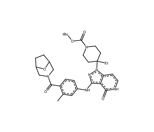 CCC1(n2nc(Nc3ccc(C(=O)N4CC5CCC(C4)O5)c(C)c3)c3c(=O)[nH]ccc32)CCN(C(=O)OC(C)(C)C)CC1